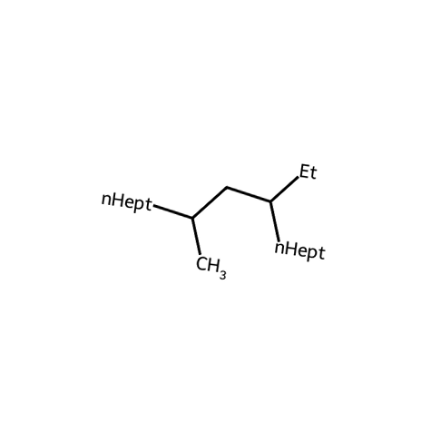 CCCCCCCC(C)CC(CC)CCCCCCC